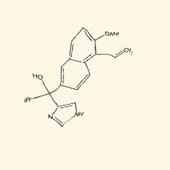 C=Cc1c(OC)ccc2cc(C(O)(c3c[nH]cn3)C(C)C)ccc12